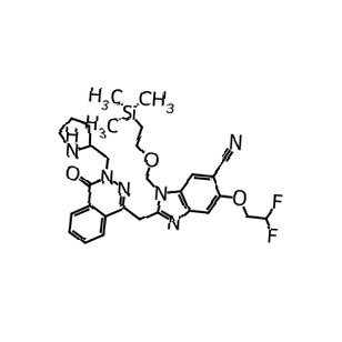 C[Si](C)(C)CCOCn1c(Cc2nn(CC3CCCN3)c(=O)c3ccccc23)nc2cc(OCC(F)F)c(C#N)cc21